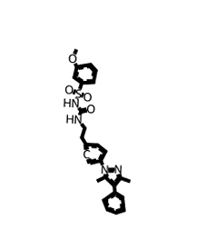 COc1cccc(S(=O)(=O)NC(=O)NCCc2ccc(-n3nc(C)c(-c4ccccc4)c3C)cc2)c1